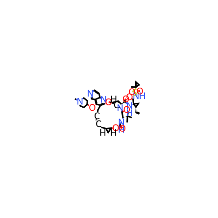 C=C[C@@H]1C[C@]1(NC(=O)[C@@H]1C[C@@H]2CN1C(=O)[C@H](C(C)(C)C)NC(=O)O[C@H]1C[C@@H]1CCCCCc1c(nc3ccncc3c1OC1CCN(C)CC1)O2)C(=O)NS(=O)(=O)C1(C)CC1